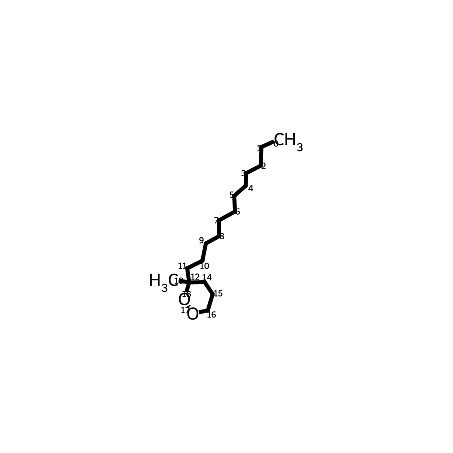 CCCCCCCCCCCCC1(C)CCCOO1